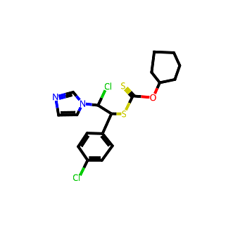 S=C(OC1CCCCC1)SC(c1ccc(Cl)cc1)C(Cl)n1ccnc1